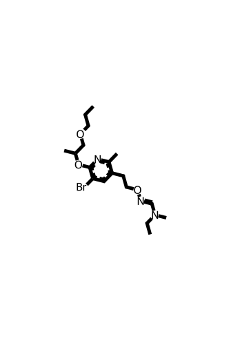 CCCOCC(C)Oc1nc(C)c(CCON=CN(C)CC)cc1Br